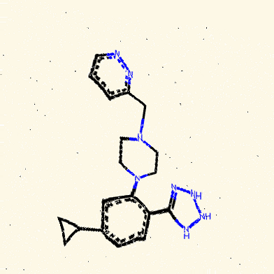 c1cnnc(CN2CCN(c3cc(C4CC4)ccc3C3=NNNN3)CC2)c1